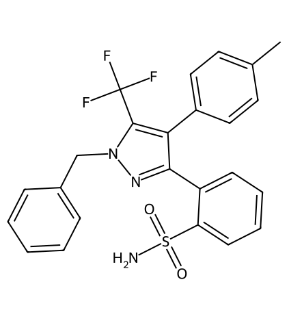 Cc1ccc(-c2c(-c3ccccc3S(N)(=O)=O)nn(Cc3ccccc3)c2C(F)(F)F)cc1